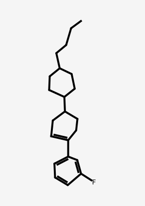 CCCCC1CCC(C2CC=C(c3cccc(F)c3)CC2)CC1